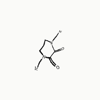 CC(=O)N1CCN(C(C)=O)C(=O)C1=O